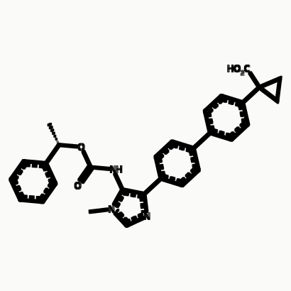 C[C@H](OC(=O)Nc1c(-c2ccc(-c3ccc(C4(C(=O)O)CC4)cc3)cc2)ncn1C)c1ccccc1